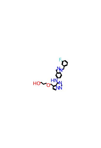 OCCCOCc1ccn2ncnc(Nc3ccc4c(cnn4Cc4cccc(F)c4)c3)c12